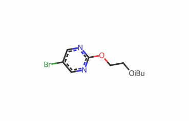 CC(C)COCCOc1ncc(Br)cn1